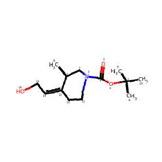 CC1CN(C(=O)OC(C)(C)C)CC/C1=C/CO